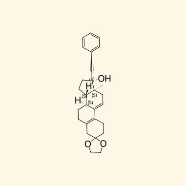 C[C@]12CC=C3C4=C(CC[C@H]3[C@@H]1CC[C@@]2(O)C#Cc1ccccc1)CC1(CC4)OCCO1